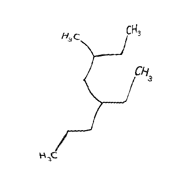 CCCC(CC)CC(C)CC